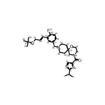 CC(C)c1nc(C(=O)N2CCOC3(CCN(Cc4ccc(F)c(/C=C/COC(C)(C)C)c4)CC3)C2)cs1